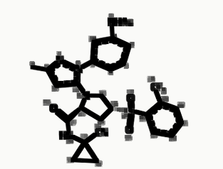 CC(=O)Nc1cccc(-n2nc(C)cc2N2C[C@H](S(=O)(=O)c3ccccc3C(F)(F)F)C[C@H]2C(=O)NC2(C#N)CC2)c1